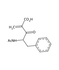 C=C(C(=O)O)C(=O)C(Cc1ccccc1)NC(C)=O